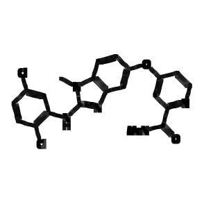 CNC(=O)c1cc(Oc2ccc3c(c2)nc(Nc2cc(Cl)ccc2Cl)n3C)ccn1